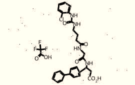 O=C(O)C(F)(F)F.O=C(O)CC(NC(=O)CNC(=O)CCCNC(=O)Nc1ccccc1Cl)c1ccc(-c2ccccc2)cc1